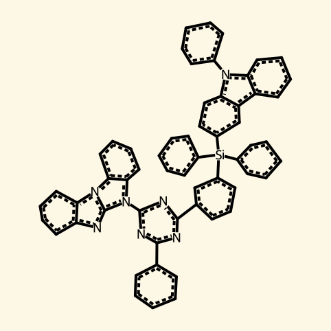 c1ccc(-c2nc(-c3cccc([Si](c4ccccc4)(c4ccccc4)c4ccc5c(c4)c4ccccc4n5-c4ccccc4)c3)nc(-n3c4ccccc4n4c5ccccc5nc34)n2)cc1